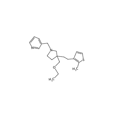 CCOCC1(CCc2ccsc2C)CCN(Cc2cccnc2)C1